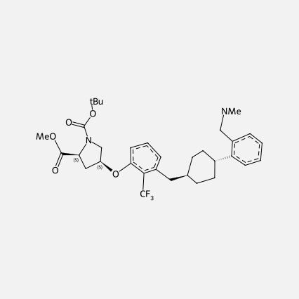 CNCc1ccccc1[C@H]1CC[C@H](Cc2cccc(O[C@H]3C[C@@H](C(=O)OC)N(C(=O)OC(C)(C)C)C3)c2C(F)(F)F)CC1